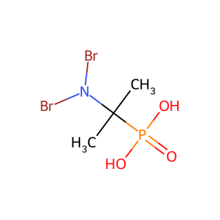 CC(C)(N(Br)Br)P(=O)(O)O